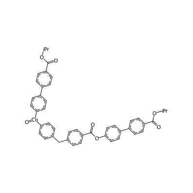 CC(C)OC(=O)c1ccc(-c2ccc(OC(=O)c3ccc(Cc4cc[c]([Co](=[O])[c]5ccc(-c6ccc(C(=O)OC(C)C)cc6)cc5)cc4)cc3)cc2)cc1